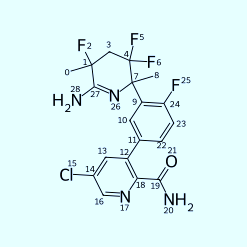 CC1(F)CC(F)(F)C(C)(c2cc(-c3cc(Cl)cnc3C(N)=O)ccc2F)N=C1N